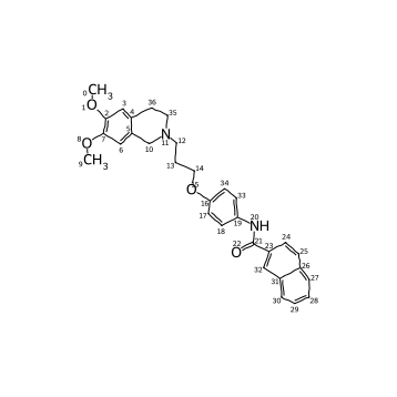 COc1cc2c(cc1OC)CN(CCCOc1ccc(NC(=O)c3ccc4ccccc4c3)cc1)CC2